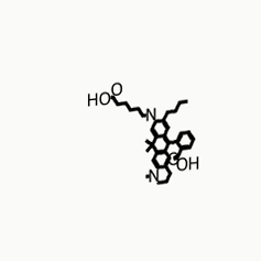 CCCCC1=CC2=C(c3ccccc3C(=O)O)c3cc4c(cc3C(C)(C)C2=C/C1=N\CCCCCC(=O)O)N(C)CCC4